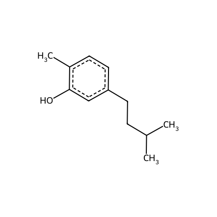 Cc1ccc(CCC(C)C)cc1O